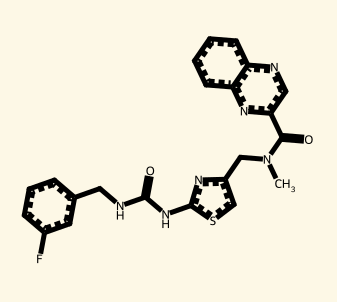 CN(Cc1csc(NC(=O)NCc2cccc(F)c2)n1)C(=O)c1cnc2ccccc2n1